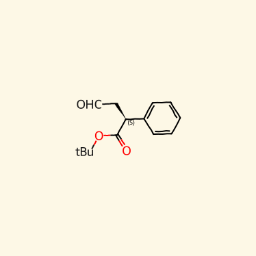 CC(C)(C)OC(=O)[C@@H](CC=O)c1ccccc1